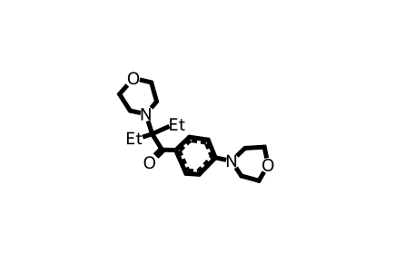 CCC(CC)(C(=O)c1ccc(N2CCOCC2)cc1)N1CCOCC1